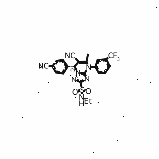 CCNS(=O)(=O)c1nc2n(n1)[C@H](c1ccc(C#N)cc1)C(C#N)=C(C)N2c1cccc(C(F)(F)F)c1